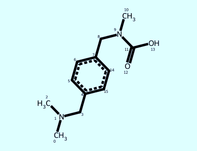 CN(C)Cc1ccc(CN(C)C(=O)O)cc1